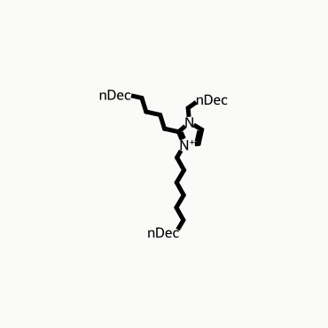 CCCCCCCCCCCCCCCC[n+]1ccn(CCCCCCCCCCC)c1CCCCCCCCCCCCCC